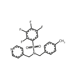 Cc1ccc(CN(Cc2ccncc2)S(=O)(=O)c2cc(F)c(F)c(F)c2F)cc1